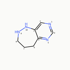 c1ncc2c(n1)CCCNN2